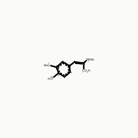 COc1cc(C=C(NC(C)=O)C(=O)O)ccc1OC(C)=O